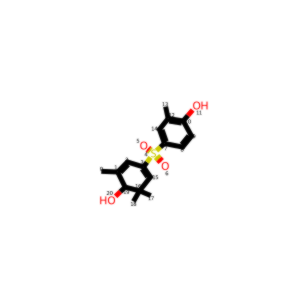 CC1=CC(S(=O)(=O)c2ccc(O)c(C)c2)=CC(C)(C)C1O